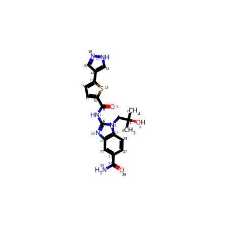 CC(C)(O)Cn1c(NC(=O)c2ccc(-c3cn[nH]c3)s2)nc2cc(C(N)=O)ccc21